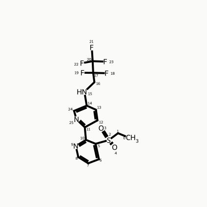 CCS(=O)(=O)c1cccnc1-c1ccc(NCC(F)(F)C(F)(F)F)cn1